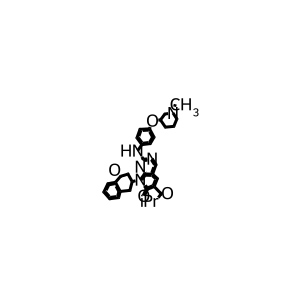 CC(C)C(=O)c1cc2cnc(Nc3ccc(OC4CCCN(C)C4)cc3)nc2n(C2CC(=O)c3ccccc3C2)c1=O